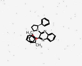 C[C@@H]1CC[C@@H](C)P1c1nc2ccccc2nc1P1[C@H](c2ccccc2)CC[C@H]1c1ccccc1